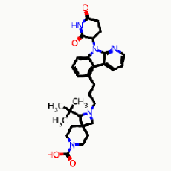 CC(C)(C)C1N(CCCc2cccc3c2c2cccnc2n3C2CCC(=O)NC2=O)CC12CCN(C(=O)O)CC2